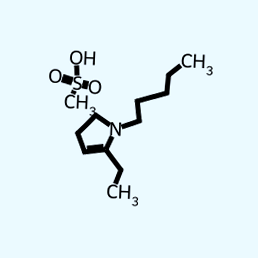 CCCCCN1CCC=C1CC.CS(=O)(=O)O